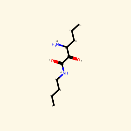 CCCCNC(=O)C(=O)C(N)CCC